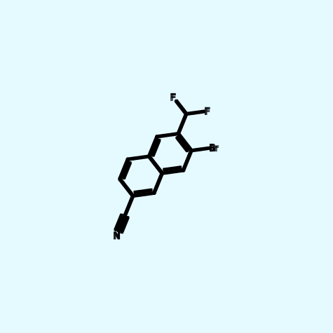 N#Cc1ccc2cc(C(F)F)c(Br)cc2c1